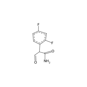 NC(=O)C(C=O)c1ccc(F)cc1F